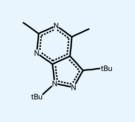 Cc1nc(C)c2c(C(C)(C)C)nn(C(C)(C)C)c2n1